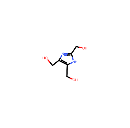 OCc1nc(CO)c(CO)[nH]1